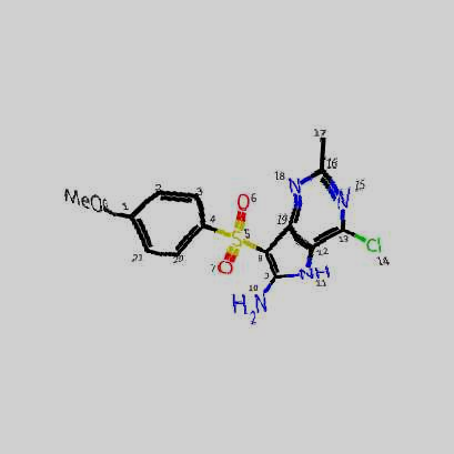 COc1ccc(S(=O)(=O)c2c(N)[nH]c3c(Cl)nc(C)nc23)cc1